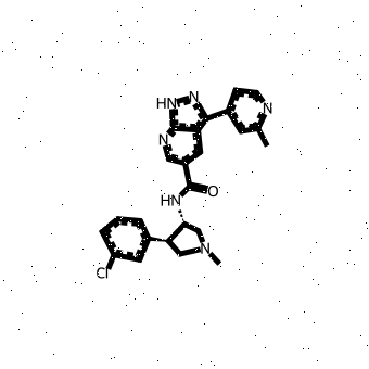 Cc1cc(-c2n[nH]c3ncc(C(=O)N[C@@H]4CN(C)C[C@H]4c4cccc(Cl)c4)cc23)ccn1